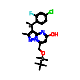 Cc1nn2c(CO[Si](C)(C)C(C)(C)C)cc(O)nc2c1[C@@H](C)c1ccc(Cl)cc1F